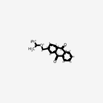 CC(C)C(C)OCc1ccc2c(c1)C(=O)c1ccccc1C2=O